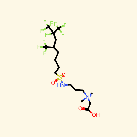 C[N+](C)(CCCNS(=O)(=O)CCCCC(CC(F)(C(F)(F)F)C(F)(F)F)C(F)(F)F)CC(=O)O